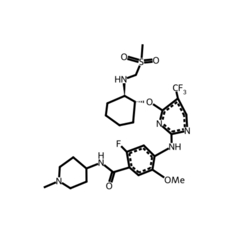 COc1cc(C(=O)NC2CCN(C)CC2)c(F)cc1Nc1ncc(C(F)(F)F)c(O[C@@H]2CCCC[C@H]2NCS(C)(=O)=O)n1